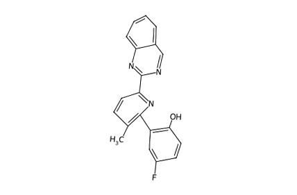 Cc1ccc(-c2ncc3ccccc3n2)nc1-c1cc(F)ccc1O